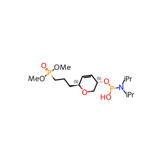 COP(=O)(CCC[C@H]1C=C[C@H](OP(O)N(C(C)C)C(C)C)CO1)OC